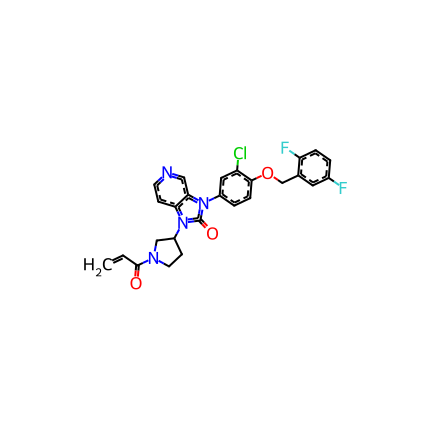 C=CC(=O)N1CCC(n2c(=O)n(-c3ccc(OCc4cc(F)ccc4F)c(Cl)c3)c3cnccc32)C1